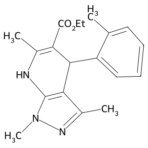 CCOC(=O)C1=C(C)Nc2c(c(C)nn2C)C1c1ccccc1C